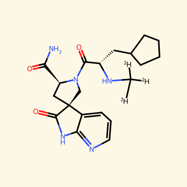 [2H]C([2H])([2H])N[C@@H](CC1CCCC1)C(=O)N1C[C@]2(C[C@H]1C(N)=O)C(=O)Nc1ncccc12